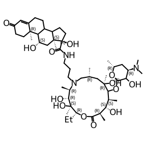 CC[C@H]1OC(=O)[C@H](C)[C@@H](O)[C@H](C)C(O[C@@H]2O[C@H](C)C[C@@H](N(C)C)C2O)[C@](C)(O)C[C@@H](C)CN(CCCNC(=O)[C@@]2(O)CCC3C4CCC5=CC(=O)CC[C@]5(C)C4[C@@H](O)C[C@@]32C)[C@H](C)[C@@H](O)[C@]1(C)O